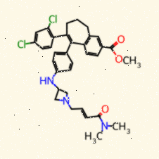 COC(=O)c1ccc2c(c1)CCCC(c1ccc(Cl)cc1Cl)=C2c1ccc(NC2CN(CC=CC(=O)N(C)C)C2)cc1